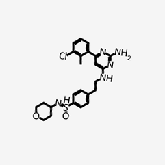 Cc1c(Cl)cccc1-c1cc(NCCc2ccc([SH](=O)=NC3CCOCC3)cc2)nc(N)n1